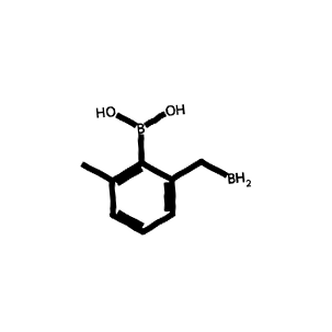 BCc1cccc(C)c1B(O)O